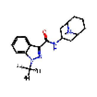 [2H]C([2H])([2H])n1nc(C(=O)NC2CC3CCCC(C2)N3C)c2ccccc21